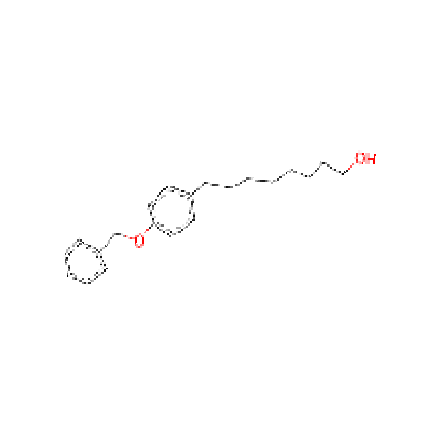 OCCCCCCCCc1ccc(OCc2ccccc2)cc1